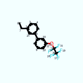 [CH2]Cc1cccc(-c2cccc(OC(F)(F)C(F)(F)F)c2)c1